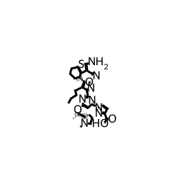 CCCCc1c(-c2nc(O[C@@H](C)[C@@H]3CCCN3C)cc(-n3ccc(C(=O)O)n3)n2)noc1[C@H]1CCCc2sc(N)c(C#N)c21